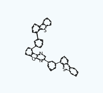 c1cc(-c2cnc3c(n2)oc2cccc(-c4cccc(-c5cccc6c5sc5ccccc56)c4)c23)cc(-c2cccc3c2sc2ccccc23)c1